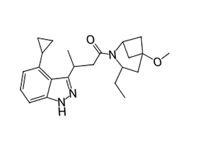 CCC1CC2(OC)CC(C2)N1C(=O)CC(C)c1n[nH]c2cccc(C3CC3)c12